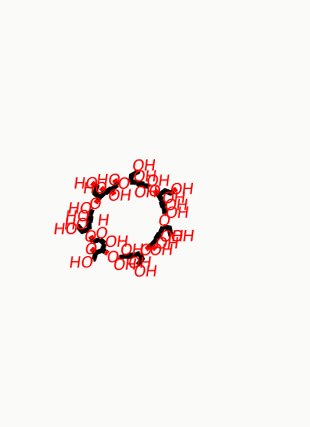 OCCC1OC(O)/C(O)=C(/O)C(CCO)OC(O)/C(O)=C(\O)C(CCO)OC(O)/C(O)=C(\O)C(CCO)OC(O)/C(O)=C(/O)C(CCO)OC2OC(CO)C(OC(O)/C(O)=C(\O)C(CCO)OC(O)/C(O)=C\1O)C(O)C2O